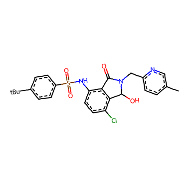 Cc1ccc(CN2C(=O)c3c(NS(=O)(=O)c4ccc(C(C)(C)C)cc4)ccc(Cl)c3C2O)nc1